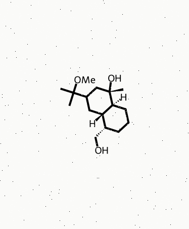 COC(C)(C)C1C[C@H]2[C@@H](CO)CCC[C@@H]2[C@@](C)(O)C1